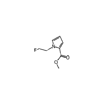 COC(=O)c1cccn1CCF